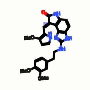 COc1ccc(CCNc2nc3c4c(ccc3[nH]2)NC(=O)/C4=C/c2[nH]ccc2OC)cc1OC